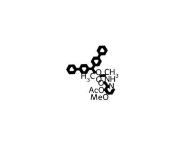 COc1ccnc(C(=O)N[C@@H](C)C(=O)O[C@@H](C)C(c2ccc(-c3ccccc3)cc2)c2ccc(-c3ccccc3)cc2)c1OC(C)=O